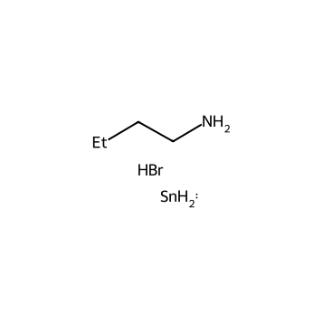 Br.CCCCN.[SnH2]